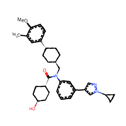 COc1ccc([C@H]2CC[C@H](CN(c3cccc(-c4cnn(C5CC5)c4)c3)C(=O)[C@H]3CC[C@H](O)CC3)CC2)cc1C